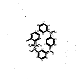 Cc1ccccc1S(=O)(=O)N(C)c1cccc(N(C)c2ccc(N(C)c3ccccc3)cc2)c1